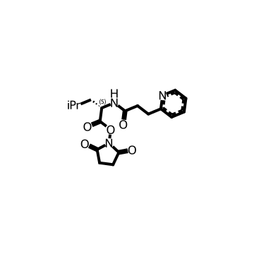 CC(C)C[C@H](NC(=O)CCc1ccccn1)C(=O)ON1C(=O)CCC1=O